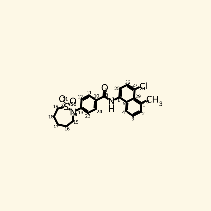 Cc1cccc2c(NC(=O)c3ccc(N4CCCCCS4(=O)=O)cc3)ccc(Cl)c12